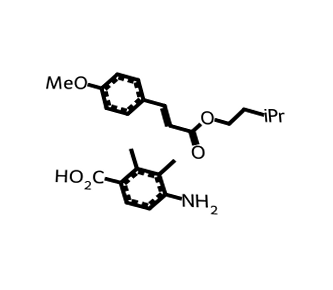 COc1ccc(C=CC(=O)OCCC(C)C)cc1.Cc1c(N)ccc(C(=O)O)c1C